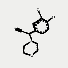 N#CC(c1ccc(Cl)c(Cl)c1)N1CCOCC1